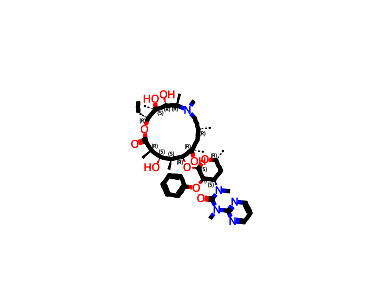 CC[C@H]1OC(=O)[C@H](C)[C@@H](O)[C@H](C)[C@@H](O[C@@H]2O[C@H](C)C[C@H](N(C)C(=O)N(C)c3ncccn3)[C@H]2Oc2ccccc2)[C@](C)(O)C[C@@H](C)CN(C)[C@H](C)[C@@H](O)[C@]1(C)O